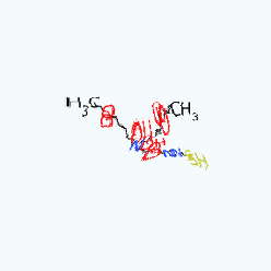 CCCCOC(=O)CCCCC(O)CN(CCCC(=O)OCCN1CCN(CCSS)CC1)CC(O)CCCCC(=O)OCCCC